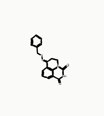 O=c1[nH]c(=O)n2c3c(cccc13)C(=NOCc1ccccc1)CC2